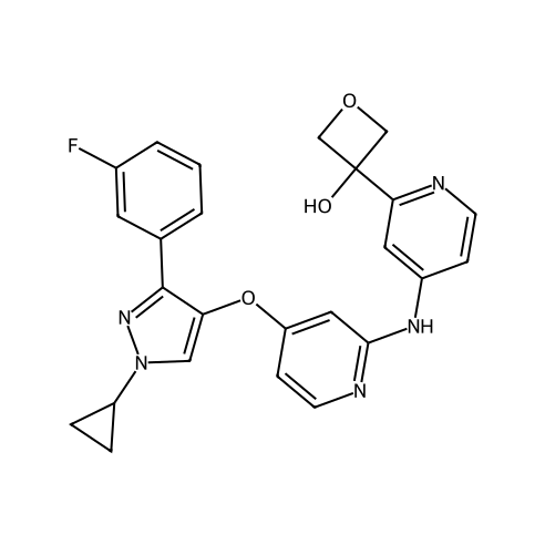 OC1(c2cc(Nc3cc(Oc4cn(C5CC5)nc4-c4cccc(F)c4)ccn3)ccn2)COC1